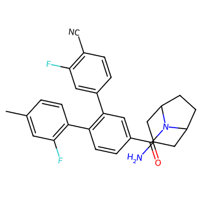 Cc1ccc(-c2ccc(C(=O)N3C4CCC3CC(N)C4)cc2-c2ccc(C#N)c(F)c2)c(F)c1